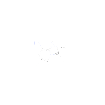 Cc1nc2c(N)cc(Cl)cn2c1C